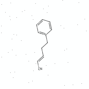 N#CC=CCCc1ccccc1